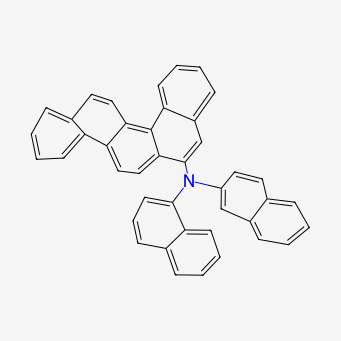 c1ccc2cc(N(c3cccc4ccccc34)c3cc4ccccc4c4c3ccc3c5ccccc5ccc34)ccc2c1